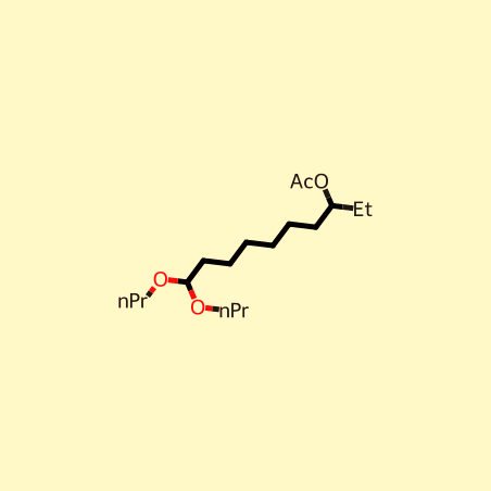 CCCOC(CCCCCCC(CC)OC(C)=O)OCCC